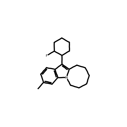 Cc1ccc2c(C3CCCCC3F)c3n(c2c1)CCCCCC3